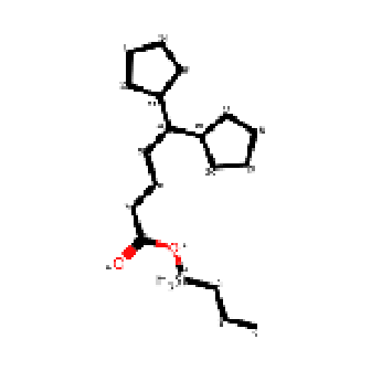 CCC[SiH2]OC(=O)CCCC(C1CCCC1)C1CCCC1